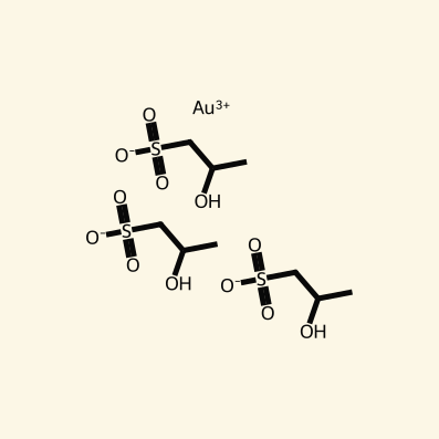 CC(O)CS(=O)(=O)[O-].CC(O)CS(=O)(=O)[O-].CC(O)CS(=O)(=O)[O-].[Au+3]